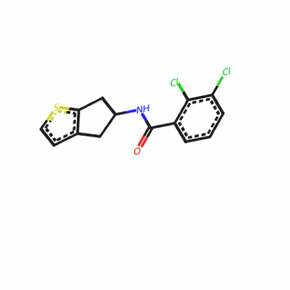 O=C(NC1Cc2ccsc2C1)c1cccc(Cl)c1Cl